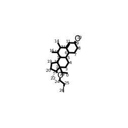 CCC12CCC3C4CCC(=O)C=C4C(C)C(C)C3C1CC[C@]2(C)OCCI